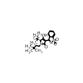 CC(C)(C)CCN1C(=O)C(C2=NS(=O)(=O)c3ccccc32)=C(O)[C@@H]1C(C)(C)C